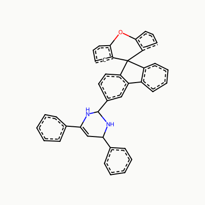 C1=C(c2ccccc2)NC(c2ccc3c(c2)-c2ccccc2C32c3ccccc3Oc3ccccc32)NC1c1ccccc1